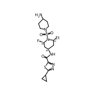 CC[C@H]1C[C@@H](NC(=O)c2nnc(C3CC3)s2)C[C@@H](F)N1S(=O)(=O)N1CCC(N)CC1